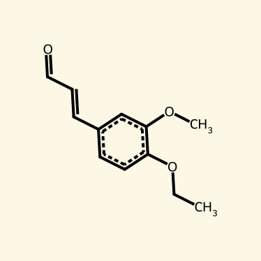 CCOc1ccc(/C=C/C=O)cc1OC